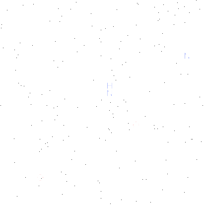 CC(=O)C1CCC(NC(=O)c2ccnc(C)c2)CC1